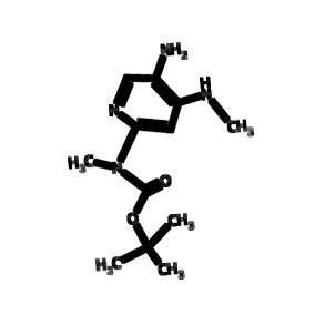 CNc1cc(N(C)C(=O)OC(C)(C)C)ncc1N